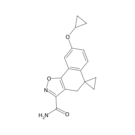 NC(=O)c1noc2c1CC1(CC1)c1ccc(OC3CC3)cc1-2